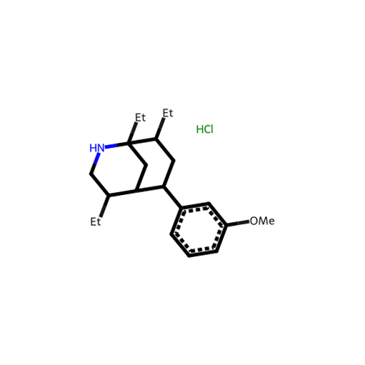 CCC1CNC2(CC)CC1C(c1cccc(OC)c1)CC2CC.Cl